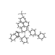 CC(C)(C)c1cc2ccc3c(-c4ccc(-c5ccccc5)cc4)cc(-c4nc5ccccc5n4-c4ccccc4)c4ccc(c1)c2c34